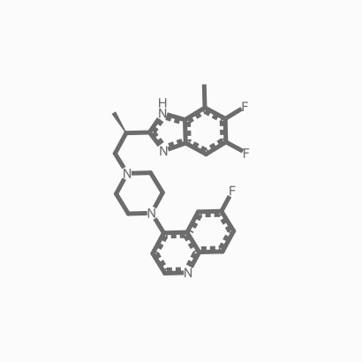 Cc1c(F)c(F)cc2nc([C@H](C)CN3CCN(c4ccnc5ccc(F)cc45)CC3)[nH]c12